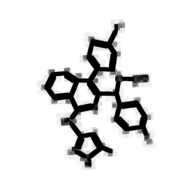 Cc1cc(Nc2nc(C(OC=O)c3ccc(F)cc3)c(-c3ccc(F)cc3)c3ccccc23)n[nH]1